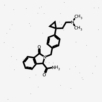 CN(C)CCC1(c2ccc(CN3C(=O)c4ccc[c]c4C3C(N)=O)cc2)CC1